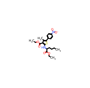 CCCCC(Nc1sc(-c2ccc([N+](=O)[O-])cc2)c(C)c1C(=O)OCC)C(=O)OCC